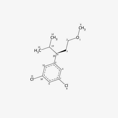 COCC[C@@H](c1cc(Cl)cc(Cl)c1)C(C)C